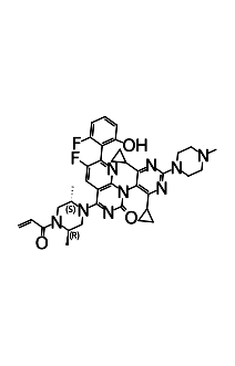 C=CC(=O)N1C[C@H](C)N(c2nc(=O)n(-c3c(C4CC4)nc(N4CCN(C)CC4)nc3C3CC3)c3nc(-c4c(O)cccc4F)c(F)cc23)C[C@H]1C